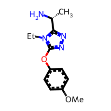 CCn1c(Oc2ccc(OC)cc2)nnc1[C@@H](C)N